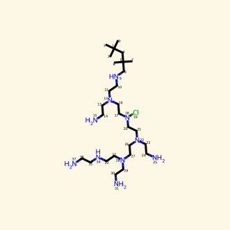 CC(C)(C)CC(C)(C)CNCCN(CCN)CCN(Cl)CCN(CCN)CCN(CCN)CCNCCN